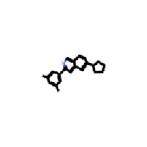 Cc1cc(C)cc(-c2cc3cc(C4CCCC4)ccc3cn2)c1